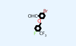 O=Cc1cc(Br)ccc1OCc1ccc(F)c(C(F)(F)F)c1